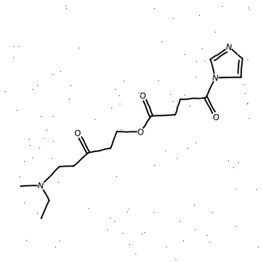 CCN(C)CCC(=O)CCOC(=O)CCC(=O)n1ccnc1